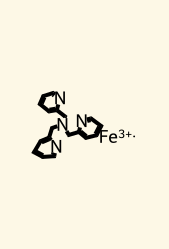 [Fe+3].c1ccc(CN(Cc2ccccn2)Cc2ccccn2)nc1